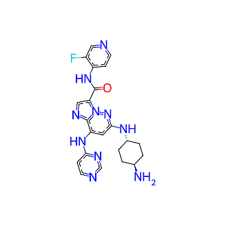 N[C@H]1CC[C@H](Nc2cc(Nc3ccncn3)c3ncc(C(=O)Nc4ccncc4F)n3n2)CC1